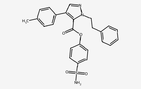 Cc1ccc(-c2cnn(CCc3ccccc3)c2C(=O)Oc2ccc(S(N)(=O)=O)cc2)cc1